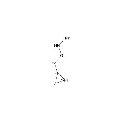 CC(C)NOCC1CN1